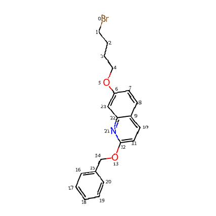 BrCCCCOc1ccc2ccc(OCc3ccccc3)nc2c1